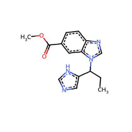 CCC(c1cnc[nH]1)n1cnc2ccc(C(=O)OC)cc21